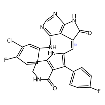 O=C1Nc2ncnc(Nc3ccc(F)c(Cl)c3)c2/C1=C\c1[nH]c2c(c1-c1ccc(F)cc1)C(=O)NCC2